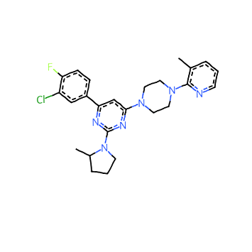 Cc1cccnc1N1CCN(c2cc(-c3ccc(F)c(Cl)c3)nc(N3CCCC3C)n2)CC1